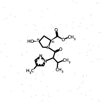 COC(=O)[C@@H]1C[C@@H](O)CN1C(=O)C(C(C)C)n1cc(C)cn1